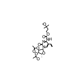 C=Cc1cn([C@@H]2O[C@H](C)[C@@H](OC(C)=O)[C@H]2OC(C)=O)c(=O)nc1NC(=O)OCCC(C)(C)OC